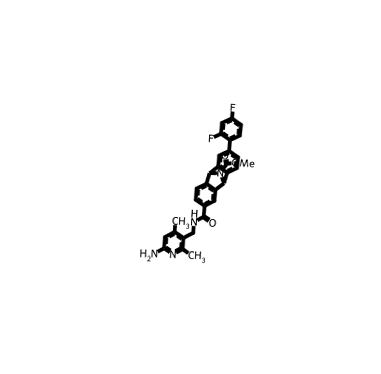 COC(=O)N1C2c3ccc(-c4ccc(F)cc4F)cc3C1c1ccc(C(=O)NCc3c(C)cc(N)nc3C)cc12